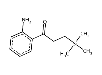 C[Si](C)(C)CCC(=O)c1ccccc1N